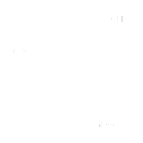 [CH2]c1cc(CCCCCCCCCCC)cc(CCCCCCCCCCC)c1